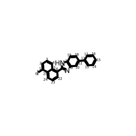 Ic1cccc2c(-c3nc4cc(-c5ccccc5)ccc4[nH]3)cccc12